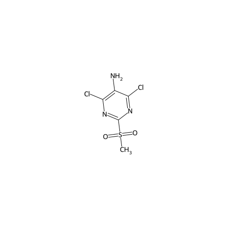 CS(=O)(=O)c1nc(Cl)c(N)c(Cl)n1